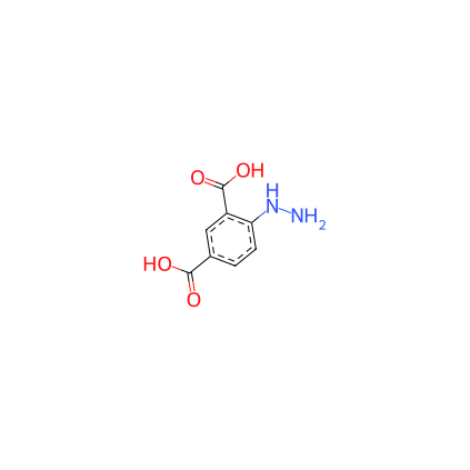 NNc1ccc(C(=O)O)cc1C(=O)O